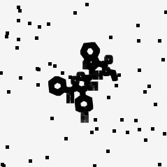 CCOC(=O)c1c(NC(=O)NC(C(=O)NC2CCCCC2)C2CCNCC2)sc2c1CCCC2